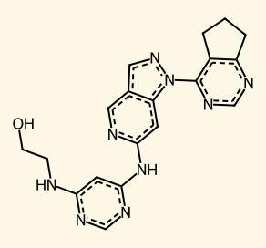 OCCNc1cc(Nc2cc3c(cn2)cnn3-c2ncnc3c2CCC3)ncn1